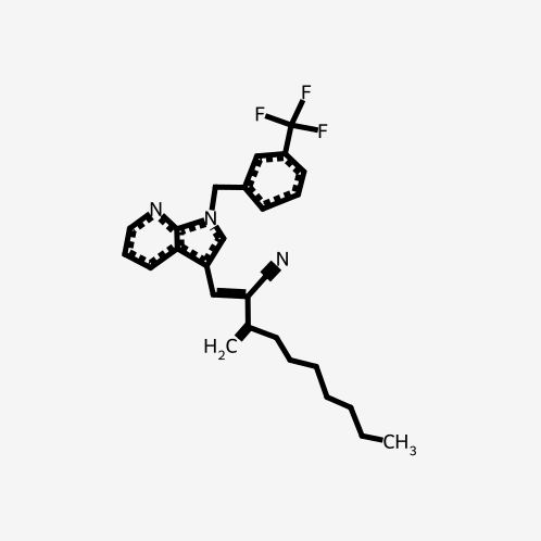 C=C(CCCCCCC)/C(C#N)=C/c1cn(Cc2cccc(C(F)(F)F)c2)c2ncccc12